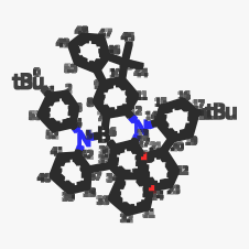 CC(C)(C)c1ccc(N2B3c4cc5c(cc4N(c4ccc(C(C)(C)C)cc4-c4ccccc4)c4cc6ccccc6c(c43)-c3ccccc32)C(C)(C)c2ccccc2-5)cc1